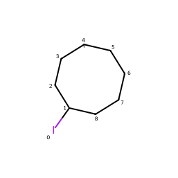 IC1CC[CH]CCCC1